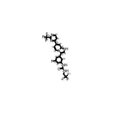 O=C(NCC(F)(F)F)Nc1cc(F)cc(C2=CNC3C=C(c4ccnc(C(F)(F)F)n4)C=CN23)c1